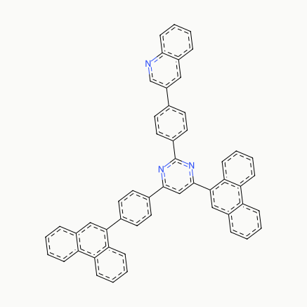 c1ccc2ncc(-c3ccc(-c4nc(-c5ccc(-c6cc7ccccc7c7ccccc67)cc5)cc(-c5cc6ccccc6c6ccccc56)n4)cc3)cc2c1